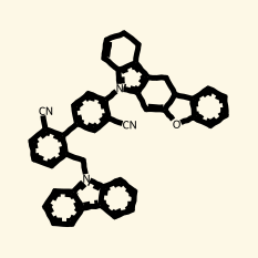 N#Cc1cc(-c2c(C#N)cccc2Cn2c3ccccc3c3ccccc32)ccc1-n1c2c(c3c1C=C1Oc4ccccc4C1C3)CCC=C2